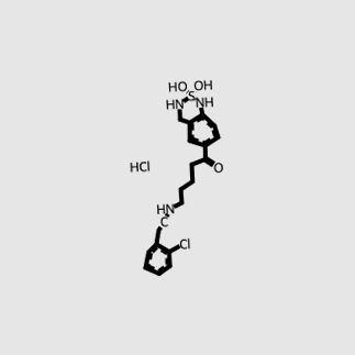 Cl.O=C(CCCCNCCc1ccccc1Cl)c1ccc2c(c1)CNS(O)(O)N2